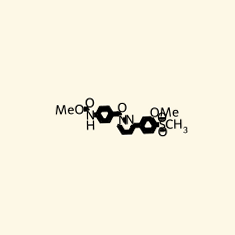 COC(=O)Nc1ccc(C(=O)N2CCCC(c3ccc(S(C)(=O)=O)c(OC)c3)=N2)cc1